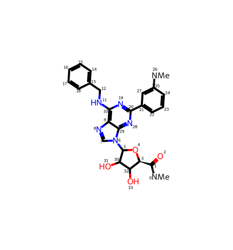 CNC(=O)[C@@H]1OC(n2cnc3c(NCc4ccccc4)nc(-c4cccc(NC)c4)nc32)C(O)C1O